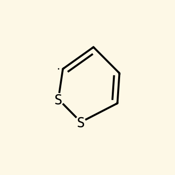 [C]1=CC=CSS1